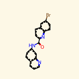 O=C(Nc1ccc2cccnc2c1)c1ccc2cc(Br)ccc2n1